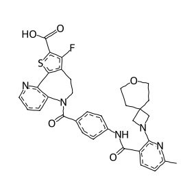 Cc1ccc(C(=O)Nc2ccc(C(=O)N3CCc4c(sc(C(=O)O)c4F)-c4ncccc43)cc2)c(N2CC3(CCOCC3)C2)n1